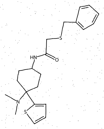 CN(C)C1(c2cccs2)CCC(NC(=O)CSCc2ccccc2)CC1